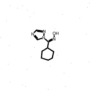 O/N=C(/C1CCCCC1)n1cncn1